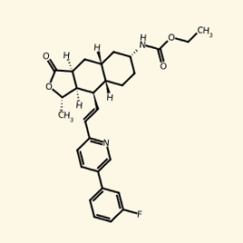 CCOC(=O)N[C@@H]1CC[C@H]2[C@@H](C1)C[C@@H]1C(=O)O[C@@H](C)[C@@H]1[C@@H]2/C=C/c1ccc(-c2cccc(F)c2)cn1